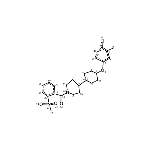 Cc1cc(OC2CCN(C3CCN(C(=O)c4ccccc4S(C)(=O)=O)CC3)CC2)ccc1Cl